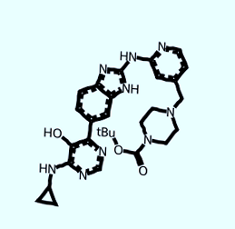 CC(C)(C)OC(=O)N1CCN(Cc2ccnc(Nc3nc4ccc(-c5ncnc(NC6CC6)c5O)cc4[nH]3)c2)CC1